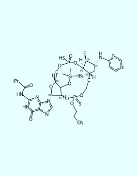 CC(C)C(=O)Nc1nc2c(ncn2[C@@H]2O[C@@H]3COP(=O)(S)O[C@@H]4[C@@H](CCOP(=S)(OCCC#N)O[C@@H]2C3O[Si](C)(C)C(C)(C)C)C[C@@H](Nc2ccncn2)[C@@H]4F)c(=O)[nH]1